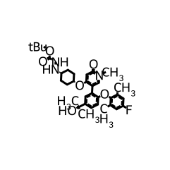 Cc1cc(F)cc(C)c1Oc1ccc(C(C)(C)O)cc1-c1cn(C)c(=O)cc1O[C@H]1CC[C@@H](NNC(=O)OC(C)(C)C)CC1